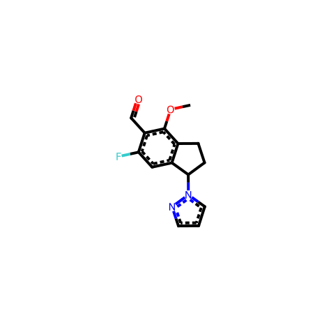 COc1c(C=O)c(F)cc2c1CCC2n1cccn1